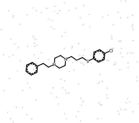 Clc1ccc(SCCCN2CCN(CCc3ccccc3)CC2)cc1